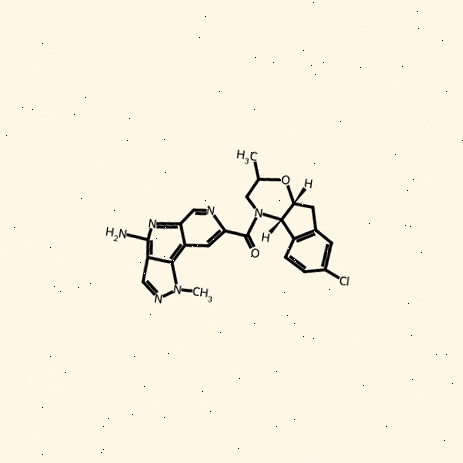 CC1CN(C(=O)c2cc3c(cn2)nc(N)c2cnn(C)c23)[C@H]2c3ccc(Cl)cc3C[C@H]2O1